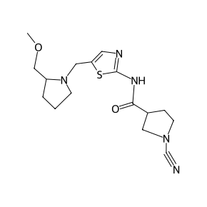 COCC1CCCN1Cc1cnc(NC(=O)C2CCN(C#N)C2)s1